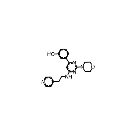 Oc1cccc(-c2cc(NCCc3ccncc3)nc(N3CCOCC3)n2)c1